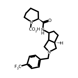 O=C(NC1CC[C@H]2CN(Cc3ccc(C(F)(F)F)cc3)CC12)[C@@H]1CCCCN1C(=O)O